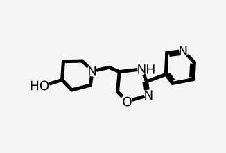 OC1CCN(CC2CON=C(c3cccnc3)N2)CC1